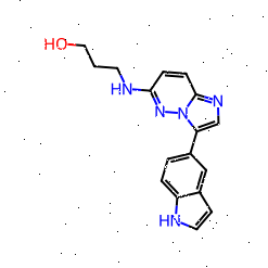 OCCCNc1ccc2ncc(-c3ccc4[nH]ccc4c3)n2n1